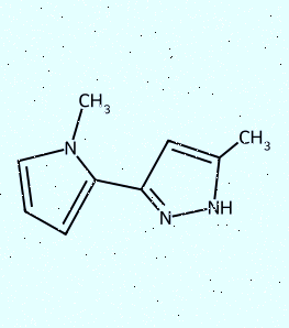 Cc1cc(-c2cccn2C)n[nH]1